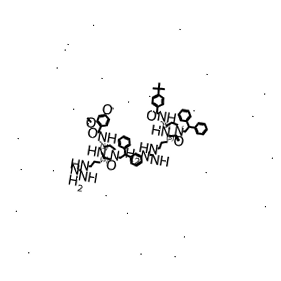 CC(C)(C)c1ccc(C(=O)NC[C@@H]2CCN(CC(c3ccccc3)c3ccccc3)C(=O)[C@H](CCCNC(=N)N)N2)cc1.COc1ccc(C(=O)NC[C@@H]2CCN(CC(c3ccccc3)c3ccccc3)C(=O)[C@H](CCCNC(=N)N)N2)c(OC)c1